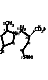 CC1CC(O)CN1.CSCC[C@H](N)C(=O)O